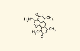 Cc1cc(=O)n(C)c2c3c4c(cc12)c(C)cc(=O)n4C(CN)CO3